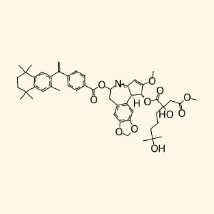 C=C(c1ccc(C(=O)OC2Cc3cc4c(cc3[C@@H]3[C@H](OC(=O)C(O)(CCCC(C)(C)O)CC(=O)OC)C(OC)=C[C@@]35CCCN25)OCO4)cc1)c1cc2c(cc1C)C(C)(C)CCC2(C)C